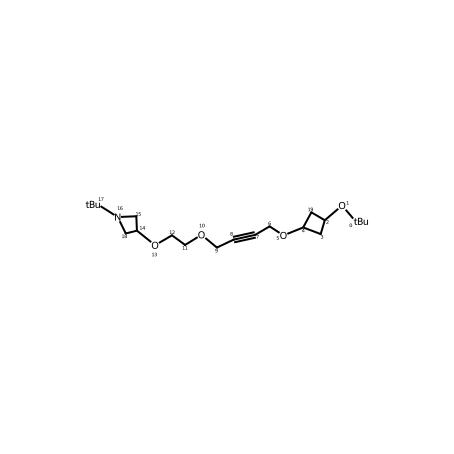 CC(C)(C)OC1CC(OCC#CCOCCOC2CN(C(C)(C)C)C2)C1